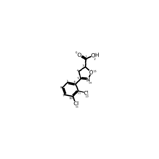 O=C(O)C1CC(c2cccc(Cl)c2Cl)=NO1